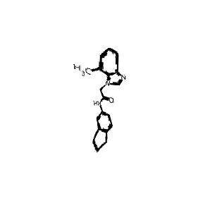 Cc1cccc2ncn(CC(=O)Nc3ccc4c(c3)CCC4)c12